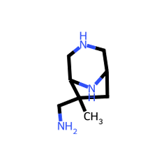 CC1(CN)CC2CNCC1N2